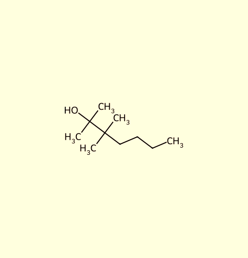 CCCCC(C)(C)C(C)(C)O